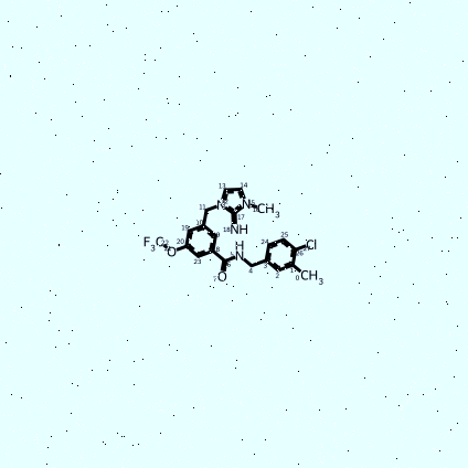 Cc1cc(CNC(=O)c2cc(Cn3ccn(C)c3=N)cc(OC(F)(F)F)c2)ccc1Cl